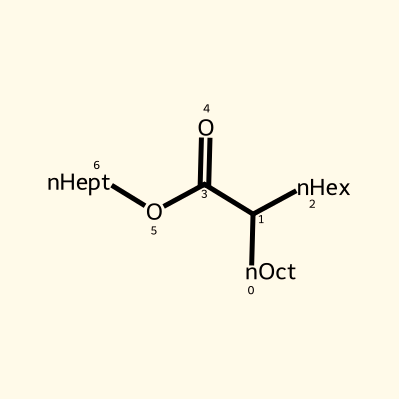 CCCCCCCCC(CCCCCC)C(=O)OCCCCCCC